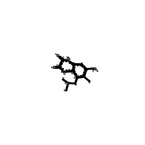 Cc1c([N+](=O)[O-])cc2[nH]c(=O)c(=O)[nH]c2c1CN(C)C